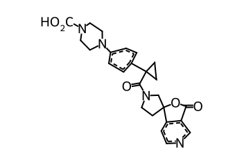 O=C1OC2(CCN(C(=O)C3(c4ccc(N5CCN(C(=O)O)CC5)cc4)CC3)C2)c2ccncc21